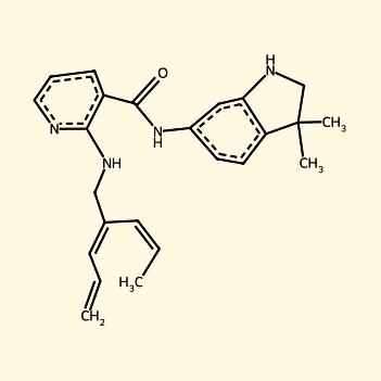 C=C/C=C(\C=C/C)CNc1ncccc1C(=O)Nc1ccc2c(c1)NCC2(C)C